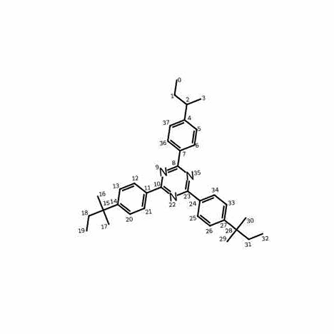 CCC(C)c1ccc(-c2nc(-c3ccc(C(C)(C)CC)cc3)nc(-c3ccc(C(C)(C)CC)cc3)n2)cc1